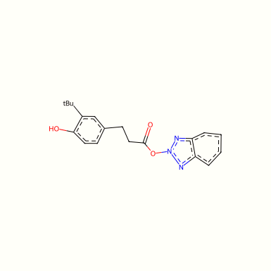 CC(C)(C)c1cc(CCC(=O)On2nc3ccccc3n2)ccc1O